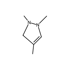 CC1=CN(C)N(C)C1